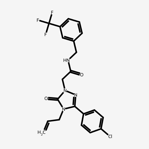 C=CCn1c(-c2ccc(Cl)cc2)nn(CC(=O)NCc2cccc(C(F)(F)F)c2)c1=O